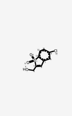 O=S1(=O)C(CO)=Cc2cc(Cl)ccc21